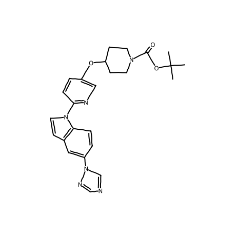 CC(C)(C)OC(=O)N1CCC(Oc2ccc(-n3ccc4cc(-n5cncn5)ccc43)nc2)CC1